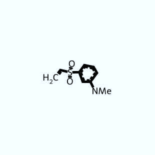 C=CS(=O)(=O)c1cccc(NC)c1